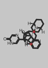 O=c1cnc(-c2nc3ccccc3n([C@H]3C[C@H]4CCC[C@@H](C3)N4C3C[C@@H]4CC5[C@H](C3)C[C@@H]5C4)c2=O)c[nH]1